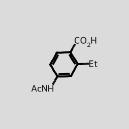 CCc1cc(NC(C)=O)ccc1C(=O)O